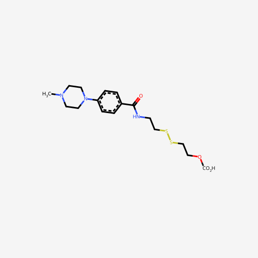 CN1CCN(c2ccc(C(=O)NCCSSCCOC(=O)O)cc2)CC1